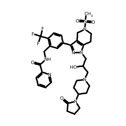 CS(=O)(=O)N1CCc2c(c(-c3ccc(C(F)(F)F)c(CNC(=O)c4ccccn4)c3)nn2CC(O)CN2CCC(N3CCCC3=O)CC2)C1